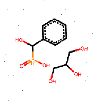 O=[PH](O)C(O)c1ccccc1.OCC(O)CO